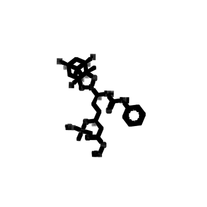 CC(C)(C)OC(=O)C[C@H](CC[C@H](NC(=O)Nc1ccccc1)B1O[C@@H]2C[C@@H]3C[C@@H](C3(C)C)[C@]2(C)O1)O[Si](C)(C)C(C)(C)C